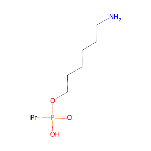 CC(C)P(=O)(O)OCCCCCCN